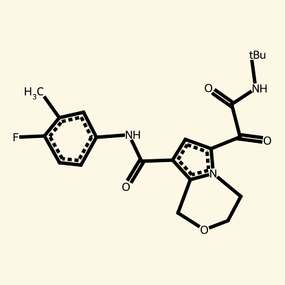 Cc1cc(NC(=O)c2cc(C(=O)C(=O)NC(C)(C)C)n3c2COCC3)ccc1F